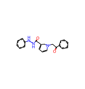 O=C(NNc1ccccc1)C1=CC=CN(CC(=O)c2ccccc2)C1